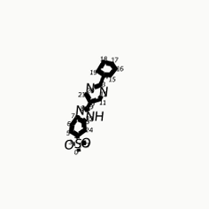 CS(=O)(=O)c1ccc2nc(-c3cnc(-c4ccccc4)nc3)[nH]c2c1